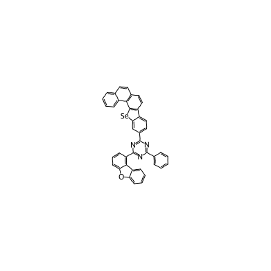 c1ccc(-c2nc(-c3ccc4c(c3)[se]c3c4ccc4ccc5ccccc5c43)nc(-c3cccc4oc5ccccc5c34)n2)cc1